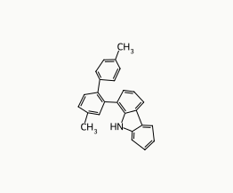 Cc1ccc(-c2ccc(C)cc2-c2cccc3c2[nH]c2ccccc23)cc1